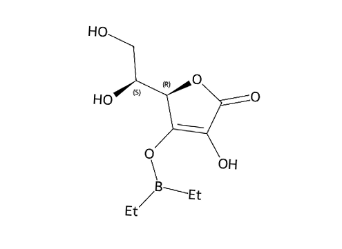 CCB(CC)OC1=C(O)C(=O)O[C@@H]1[C@@H](O)CO